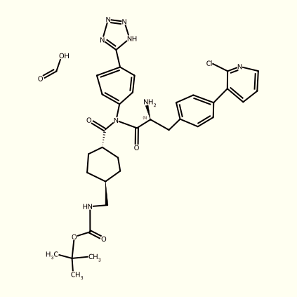 CC(C)(C)OC(=O)NC[C@H]1CC[C@H](C(=O)N(C(=O)[C@@H](N)Cc2ccc(-c3cccnc3Cl)cc2)c2ccc(-c3nnn[nH]3)cc2)CC1.O=CO